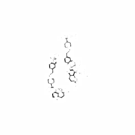 COc1ccc2nccc(N)c2n1.COc1ccc2nccc(NC(=O)C3CCN(CCc4ccc5c(c4)oc(=O)n5C)CC3)c2n1.O=C1COc2ccc(CCN3CCC(C(=O)O)CC3)cc2N1